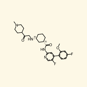 COc1cc(F)ccc1-c1cc(NC(=O)[C@H]2CCC[C@@H](NCC(=O)C3CCN(C)CC3)C2)ncc1F